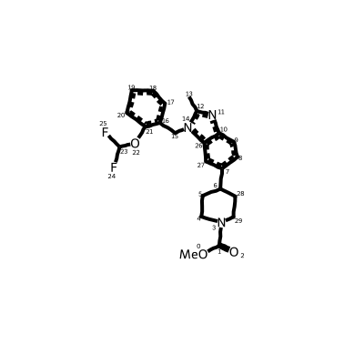 COC(=O)N1CCC(c2ccc3nc(C)n(Cc4ccccc4OC(F)F)c3c2)CC1